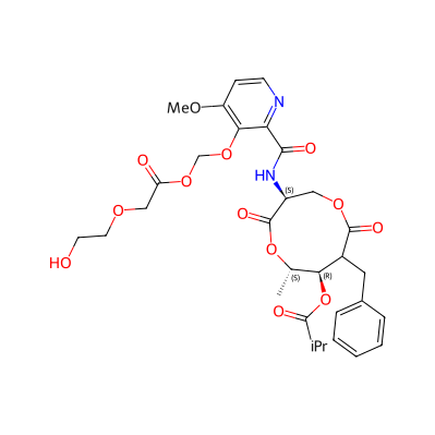 COc1ccnc(C(=O)N[C@H]2COC(=O)C(Cc3ccccc3)[C@@H](OC(=O)C(C)C)[C@H](C)OC2=O)c1OCOC(=O)COCCO